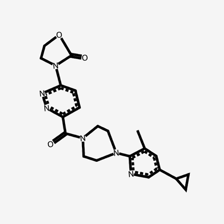 Cc1cc(C2CC2)cnc1N1CCN(C(=O)c2ccc(N3CCOC3=O)nn2)CC1